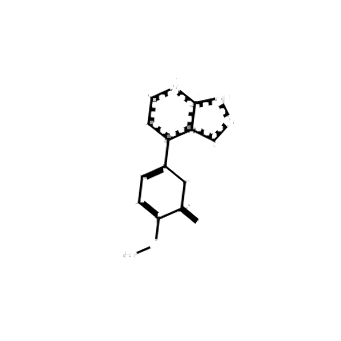 CCCCOC1=CC=C(c2ccnc3[nH]ncc23)CC1=S